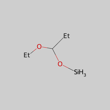 CCOC(CC)O[SiH3]